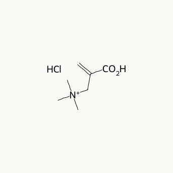 C=C(C[N+](C)(C)C)C(=O)O.Cl